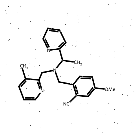 COc1ccc(CN(Cc2ncccc2C)C(C)c2ccccn2)c(C#N)c1